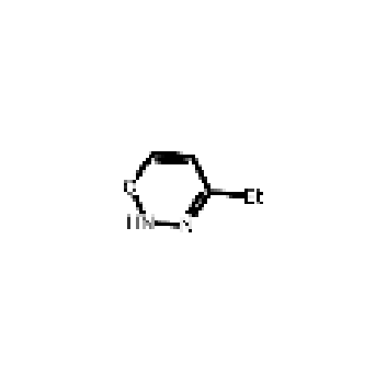 CCC1=NNOC=C1